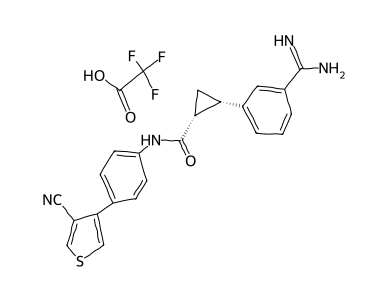 N#Cc1cscc1-c1ccc(NC(=O)[C@@H]2C[C@@H]2c2cccc(C(=N)N)c2)cc1.O=C(O)C(F)(F)F